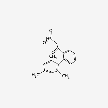 Cc1cc(C)c(-c2ccccc2C(=O)C[SH](=O)=O)c(C)c1